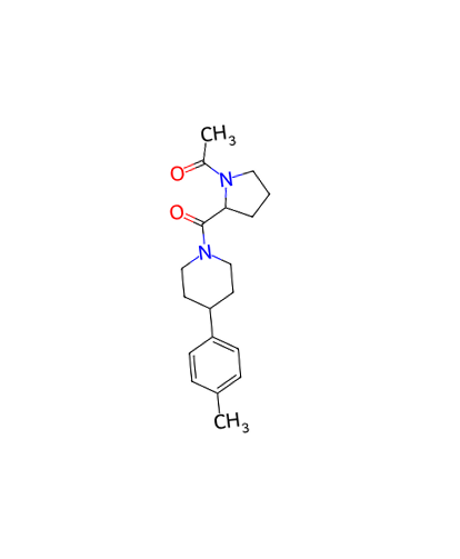 CC(=O)N1CCCC1C(=O)N1CCC(c2ccc(C)cc2)CC1